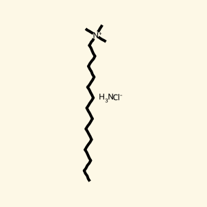 CCCCCCCCCCCCCC[N+](C)(C)C.N.[Cl-]